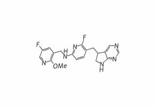 COc1ncc(F)cc1CNc1ccc(CC2CNc3ncncc32)c(F)n1